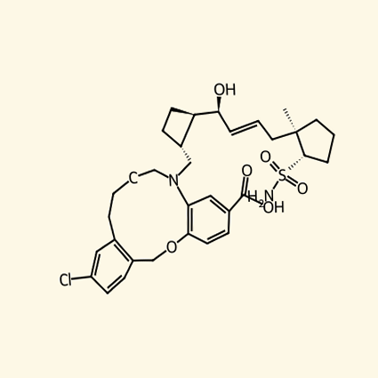 C[C@]1(C/C=C/[C@H](O)[C@@H]2CC[C@H]2CN2CCCCc3cc(Cl)ccc3COc3ccc(C(=O)O)cc32)CCC[C@@H]1S(N)(=O)=O